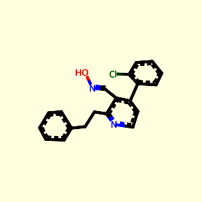 ON=Cc1c(-c2ccccc2Cl)ccnc1CCc1ccccc1